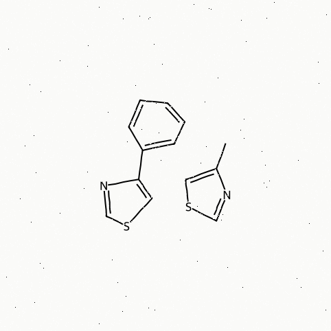 Cc1cscn1.c1ccc(-c2cscn2)cc1